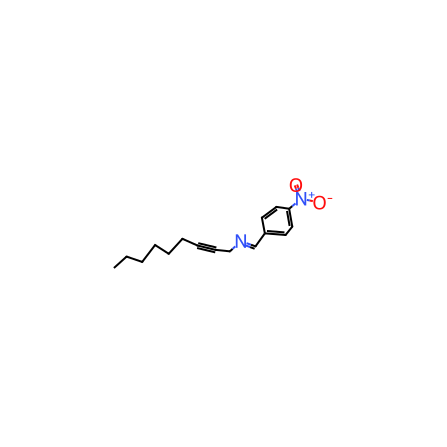 CCCCCCC#CC/N=C/c1ccc([N+](=O)[O-])cc1